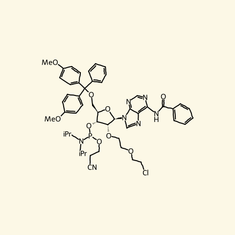 COc1ccc(C(OC[C@H]2O[C@@H](n3cnc4c(NC(=O)c5ccccc5)ncnc43)[C@H](OCCOCCCl)[C@@H]2OP(OCCC#N)N(C(C)C)C(C)C)(c2ccccc2)c2ccc(OC)cc2)cc1